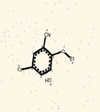 CCOc1ccc(Cl)cc1C#N.Cl